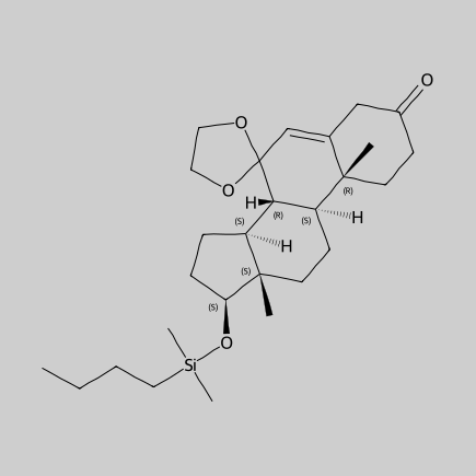 CCCC[Si](C)(C)O[C@H]1CC[C@H]2[C@H]3[C@H](CC[C@]12C)[C@@]1(C)CCC(=O)CC1=CC31OCCO1